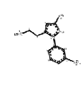 CCCc1cc(CCC=O)n(-c2cccc([N+](=O)[O-])c2)n1